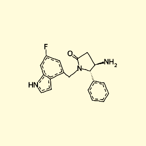 N[C@@H]1CC(=O)N(Cc2cc(F)cc3[nH]ccc23)[C@H]1c1ccccc1